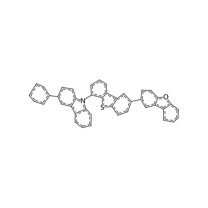 c1ccc(-c2ccc3c(c2)c2ccccc2n3-c2cccc3c2sc2ccc(-c4ccc5oc6ccccc6c5c4)cc23)cc1